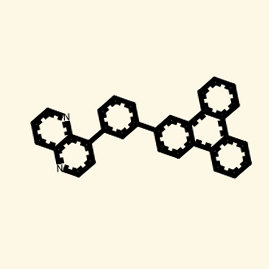 c1cc(-c2ccc3c4ccccc4c4ccccc4c3c2)cc(-c2ccnc3cccnc23)c1